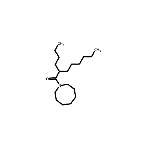 CCCCCCC(CCCC)C(=O)N1CCCCCCC1